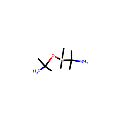 CC(C)(N)O[Si](C)(C)C(C)(C)N